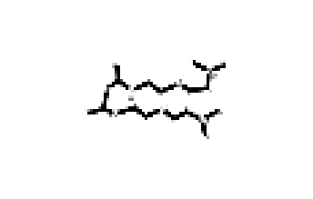 CC(SCCSCCN(C)C)SC(C)SCCSCCN(C)C